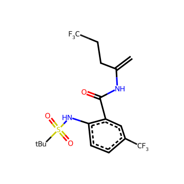 C=C(CCC(F)(F)F)NC(=O)c1cc(C(F)(F)F)ccc1NS(=O)(=O)C(C)(C)C